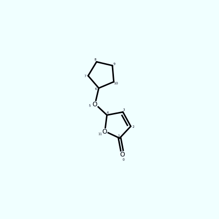 O=C1C=CC(OC2CCCC2)O1